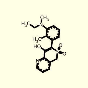 CCN(C)c1cccc(C2=C(O)c3ncccc3CS2(=O)=O)c1C